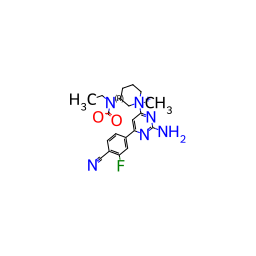 CCN(C(=O)[O-])[C@@H]1CCC[N+](C)(c2cc(-c3ccc(C#N)c(F)c3)nc(N)n2)C1